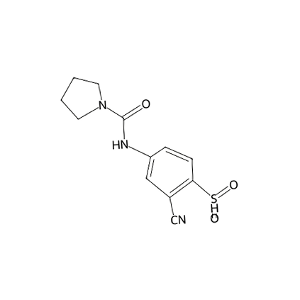 N#Cc1cc(NC(=O)N2CCCC2)ccc1[SH](=O)=O